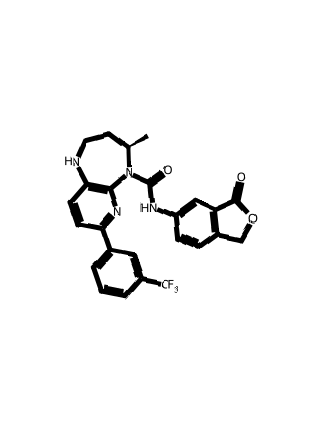 C[C@@H]1CCNc2ccc(-c3cccc(C(F)(F)F)c3)nc2N1C(=O)Nc1ccc2c(c1)C(=O)OC2